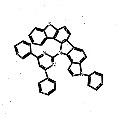 c1ccc(-c2cc(-c3ccccc3)nc(-n3c4c(ccc5c4ccn5-c4ccccc4)c4ccc5sc6ccccc6c5c43)n2)cc1